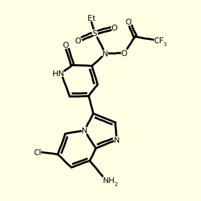 CCS(=O)(=O)N(OC(=O)C(F)(F)F)c1cc(-c2cnc3c(N)cc(Cl)cn23)c[nH]c1=O